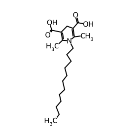 CCCCCCCCCCCCN1C(C)=C(C(=O)O)CC(C(=O)O)=C1C